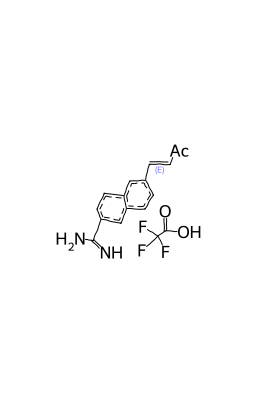 CC(=O)/C=C/c1ccc2cc(C(=N)N)ccc2c1.O=C(O)C(F)(F)F